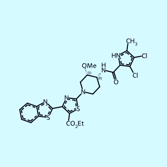 CCOC(=O)c1sc(N2CC[C@@H](NC(=O)c3[nH]c(C)c(Cl)c3Cl)[C@@H](OC)C2)nc1-c1nc2ccccc2s1